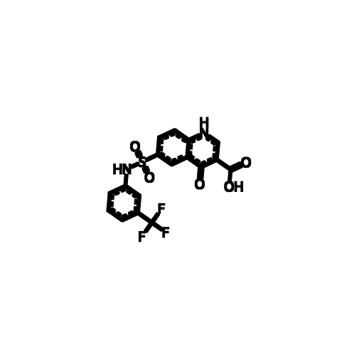 O=C(O)c1c[nH]c2ccc(S(=O)(=O)Nc3cccc(C(F)(F)F)c3)cc2c1=O